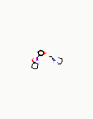 c1cc(OCCCN2CCCCC2)cc(C2=NC3(CCCCC3)CO2)c1